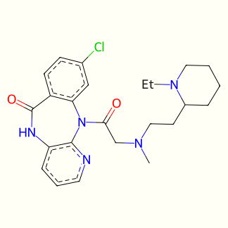 CCN1CCCCC1CCN(C)CC(=O)N1c2cc(Cl)ccc2C(=O)Nc2cccnc21